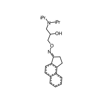 CC(C)N(CC(O)CON=C1CCc2c1ccc1ccccc21)C(C)C